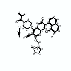 C=C(F)C(=O)N1CCN(C2=C(C#N)C(OC[C@@H]3CCCN3C)=NC3C=C(c4cccc5ccc(F)c(Cl)c45)C(Cl)=CC23)C[C@@H]1CC#N